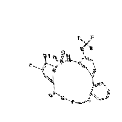 O=C1OCCOc2ccccc2-c2ccc(OC(F)(F)F)c(c2)NS(=O)(=O)c2cc1cc(Cl)c2O